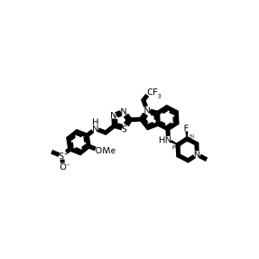 COc1cc([S+](C)[O-])ccc1NCc1nnc(-c2cc3c(N[C@@H]4CCN(C)C[C@@H]4F)cccc3n2CC(F)(F)F)s1